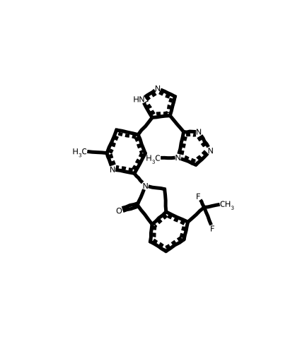 Cc1cc(-c2[nH]ncc2-c2nncn2C)cc(N2Cc3c(cccc3C(C)(F)F)C2=O)n1